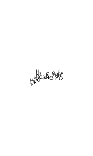 C[C@@H](OC(=O)C(F)(F)F)[C@H](N)C(=O)OC[C@H]1CN(c2ccc3cc(-c4ccccc4C(F)(F)F)[nH]c(=O)c3c2)C(=O)O1